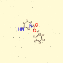 N=C1CCCN(C(=O)OCc2ccccc2)C1